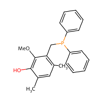 COc1c(O)c(C)cc(C)c1CP(c1ccccc1)c1ccccc1